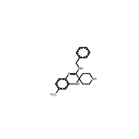 Cc1ccc2c(c1)NC1(CCNCC1)C(NCc1ccccc1)=N2